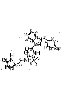 CC(C)(C)[C@H](NC(=O)c1nn(Cc2ccc(F)cc2)c2ccccc12)C(=O)NCCc1n[nH]c(=O)[nH]1